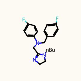 CCCCN1CCN=C1CN(Cc1ccc(F)cc1)c1ccc(F)cc1